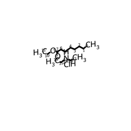 CCCCCCCC(=O)OCC.CCNCC.Cl